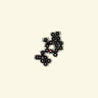 c1ccc(-n2c3ccccc3c3cc(-c4cccc(-c5cccc(N(c6ccc7c(c6)C(c6ccccc6)(c6ccc(-c8ccc9c%10cc(-c%11cccc(-c%12cccc(N(c%13ccc%14c(c%13)C(c%13ccccc%13)(c%13ccccc%13)c%13ccccc%13-%14)c%13ccc%14ccccc%14c%13)c%12)c%11)ccc%10n(-c%10ccccc%10)c9c8)cc6)c6ccccc6-7)c6cccc7ccccc67)c5)c4)ccc32)cc1